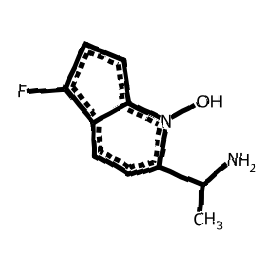 CC(N)c1ccc2c(F)ccc-2n1O